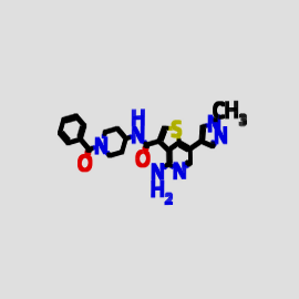 Cn1cc(-c2cnc(N)c3c(C(=O)NC4CCN(C(=O)c5ccccc5)CC4)csc23)cn1